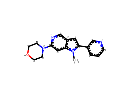 Cn1c(-c2cccnc2)cc2cnc(N3CCOCC3)cc21